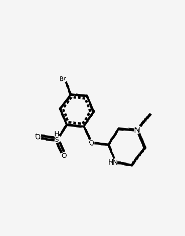 CN1CCNC(Oc2ccc(Br)cc2[SH](=O)=O)C1